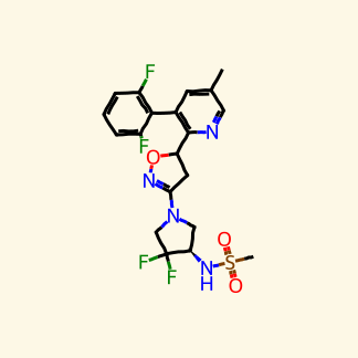 Cc1cnc(C2CC(N3C[C@@H](NS(C)(=O)=O)C(F)(F)C3)=NO2)c(-c2c(F)cccc2F)c1